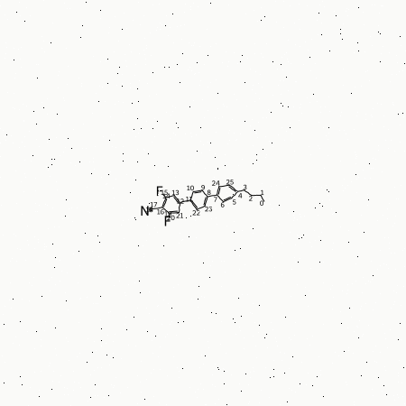 CCCCc1ccc(-c2ccc(-c3cc(F)c(C#N)c(F)c3)cc2)cc1